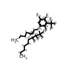 CCCCCCP(c1cc(F)c(F)c(C(F)(F)F)c1F)C(F)(F)C(F)(F)C(F)(F)CCCCCC